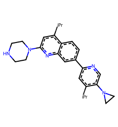 CC(C)c1cc(-c2ccc3c(C(C)C)cc(N4CCNCC4)nc3c2)ncc1N1CC1